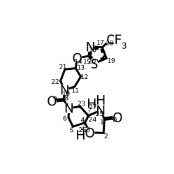 O=C1CO[C@H]2CCN(C(=O)N3CCC(Oc4nc(C(F)(F)F)cs4)CC3)C[C@H]2N1